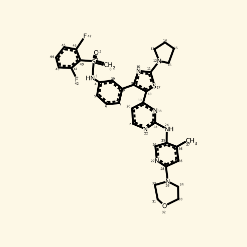 C=S(=O)(Nc1cccc(-c2nc(N3CCCC3)sc2-c2ccnc(Nc3cnc(N4CCOCC4)cc3C)n2)c1)c1c(F)cccc1F